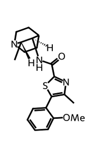 COc1ccccc1-c1sc(C(=O)N[C@@H]2C3CCN(CC3)[C@H]2C)nc1C